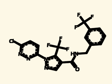 O=C(NCc1cccc(C(F)(F)F)c1)c1cnn(-c2ccc(Cl)nn2)c1C(F)(F)F